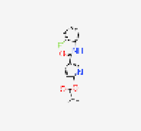 CC(C)C(=O)Oc1ccc(C(=O)Nc2ccccc2F)cn1